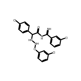 N=C(NC(=O)C(NNOc1cccc(Cl)c1)c1ccc(Cl)cc1)c1cccc(Cl)c1